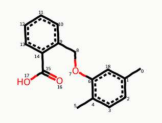 Cc1ccc(C)c(OCc2ccccc2C(=O)O)c1